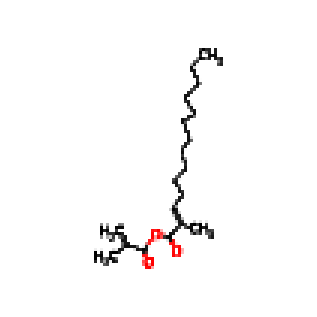 C=C(C)C(=O)OC(=O)C(C)=CCCCCCCCCCCC